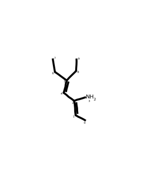 CC=C(N)C=C(CC)CC